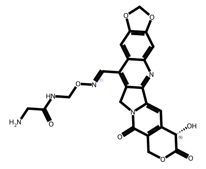 NCC(=O)NCO/N=C/c1c2c(nc3cc4c(cc13)OCO4)-c1cc3c(c(=O)n1C2)COC(=O)[C@H]3O